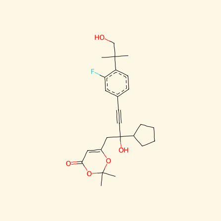 CC1(C)OC(=O)C=C(CC(O)(C#Cc2ccc(C(C)(C)CO)c(F)c2)C2CCCC2)O1